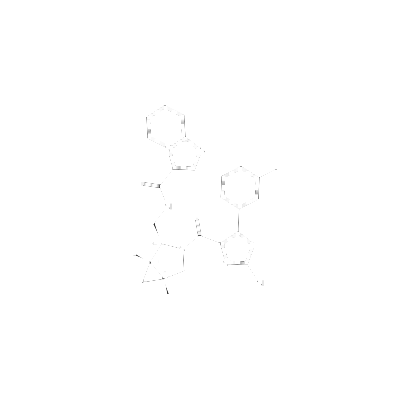 Nc1nc(C(=O)N2C[C@@H]3C[C@@H]3[C@H]2CNC(=O)c2cnc3ccccn23)c(-c2cccc(F)c2)s1